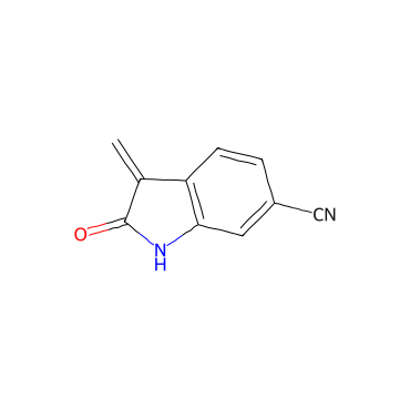 C=C1C(=O)Nc2cc(C#N)ccc21